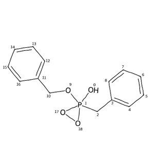 OP1(Cc2ccccc2)(OCc2ccccc2)OO1